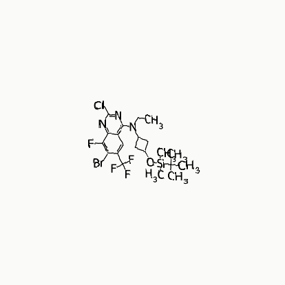 CCN(c1nc(Cl)nc2c(F)c(Br)c(C(F)(F)F)cc12)C1CC(O[Si](C)(C)C(C)(C)C)C1